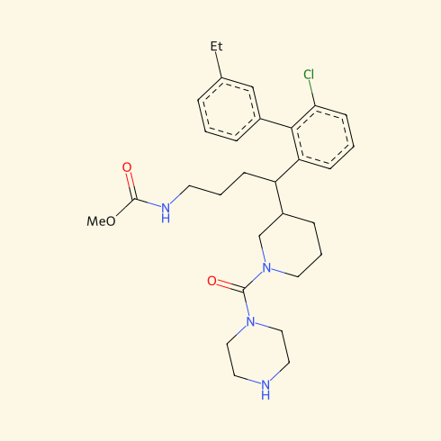 CCc1cccc(-c2c(Cl)cccc2C(CCCNC(=O)OC)C2CCCN(C(=O)N3CCNCC3)C2)c1